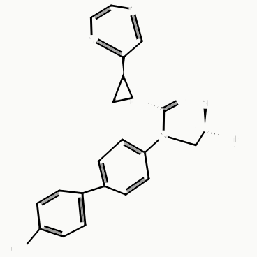 CCCc1ccc(-c2ccc(N(C[C@@H](N)[C@@H](C)CC)C(=O)[C@@H]3C[C@H]3c3cnccn3)cc2)cc1